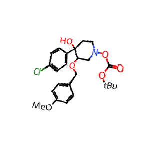 COc1ccc(COC2CN(OC(=O)OC(C)(C)C)CCC2(O)c2ccc(Cl)cc2)cc1